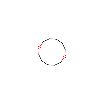 [CH]1CCCCOCCCCCO1